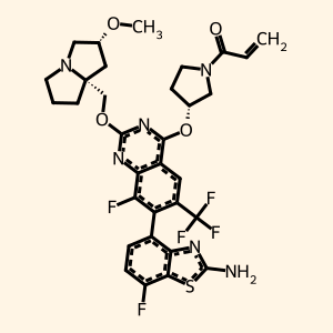 C=CC(=O)N1CC[C@@H](Oc2nc(OC[C@]34CCCN3C[C@H](OC)C4)nc3c(F)c(-c4ccc(F)c5sc(N)nc45)c(C(F)(F)F)cc23)C1